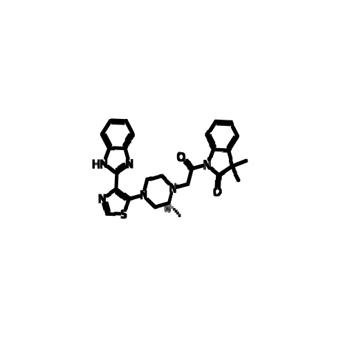 C[C@@H]1CN(c2scnc2-c2nc3ccccc3[nH]2)CCN1CC(=O)N1C(=O)C(C)(C)c2ccccc21